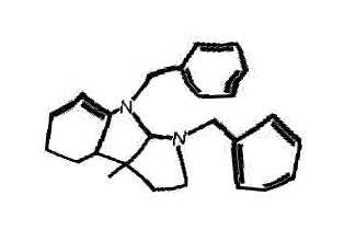 CC12CCN(Cc3ccccc3)C1N(Cc1ccccc1)C1=CCCCC12